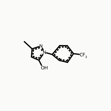 Cc1cc(O)n(-c2ccc(C(F)(F)F)cc2)n1